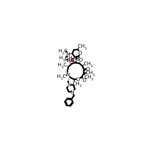 CO[C@]1(C)C[C@@H](C)CN(C)[C@@H](CN2CCN(Cc3ccccc3)CC2)[C@H](C)OC(=O)C(C)(C)C(=O)[C@H](C)[C@H]1O[C@@H]1O[C@H](C)C[C@H](N(C)C)[C@H]1O